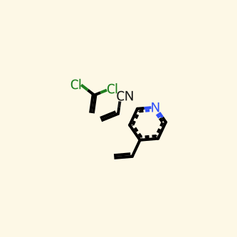 C=C(Cl)Cl.C=CC#N.C=Cc1ccncc1